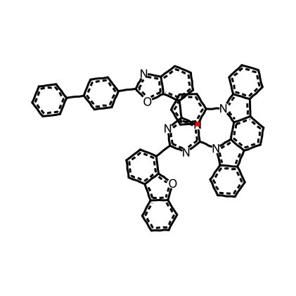 c1ccc(-c2ccc(-c3nc4cccc(-c5nc(-c6cccc7c6oc6ccccc67)nc(-n6c7ccccc7c7ccc8c9ccccc9n(-c9ccccc9)c8c76)n5)c4o3)cc2)cc1